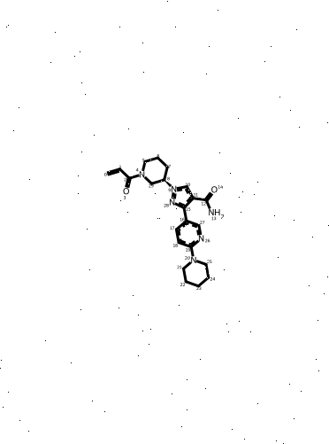 C=CC(=O)N1CCC[C@@H](n2cc(C(N)=O)c(-c3ccc(N4CCCCC4)nc3)n2)C1